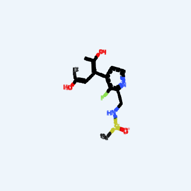 CC/C(O)=C\C(=C(/C)O)c1ccnc(CN[S+]([O-])C(C)(C)C)c1F